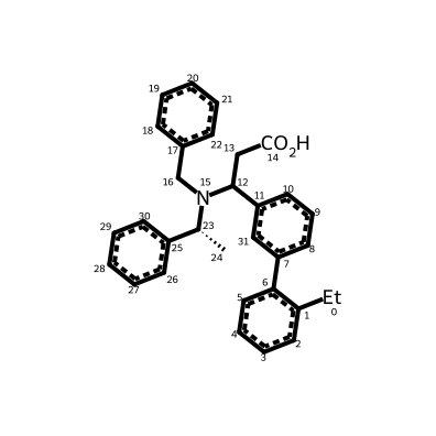 CCc1ccccc1-c1cccc(C(CC(=O)O)N(Cc2ccccc2)[C@H](C)c2ccccc2)c1